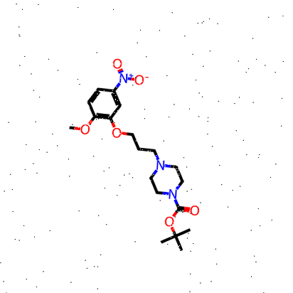 COc1ccc([N+](=O)[O-])cc1OCCCN1CCN(C(=O)OC(C)(C)C)CC1